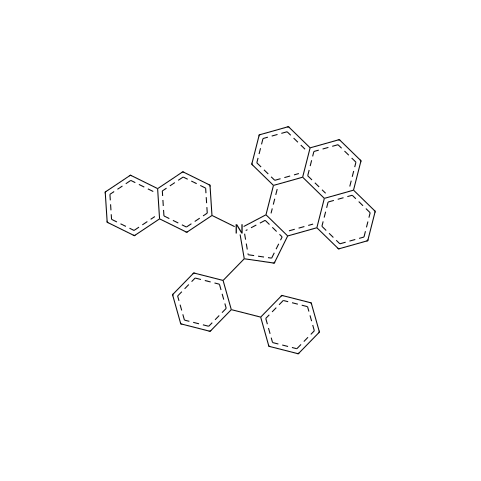 c1ccc(-c2ccccc2-c2cc3c4cccc5ccc6cccc(c6c54)c3n2-c2ccc3ccccc3c2)cc1